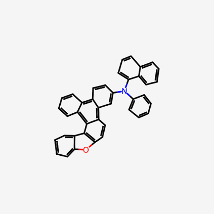 c1ccc(N(c2ccc3c4ccccc4c4c(ccc5oc6ccccc6c54)c3c2)c2cccc3ccccc23)cc1